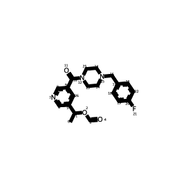 CC(OC=O)c1cncc(C(=O)N2CCN(Cc3ccc(F)cc3)CC2)c1